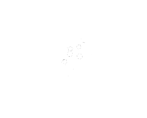 CC(Oc1cc(-n2cnc3cc(-c4cnn(C)c4)ccc32)sc1C(N)=O)c1cccc(OC2CCN(CCC(F)(F)F)CC2)c1Cl